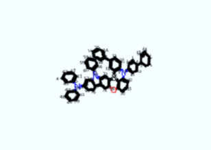 c1ccc(-c2ccc(N3c4ccc(-c5ccccc5)cc4B4c5cc6c(cc5Oc5cccc3c54)c3ccc(N(c4ccccc4)c4ccccc4)cc3n6-c3ccccc3)cc2)cc1